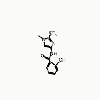 Cn1cc(NC(=O)c2ccccc2O)nc1C(F)(F)F